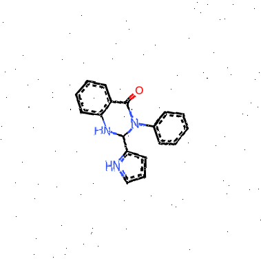 O=C1c2ccccc2NC(c2ccc[nH]2)N1c1ccccc1